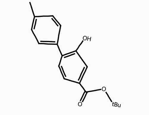 Cc1ccc(-c2ccc(C(=O)OC(C)(C)C)cc2O)cc1